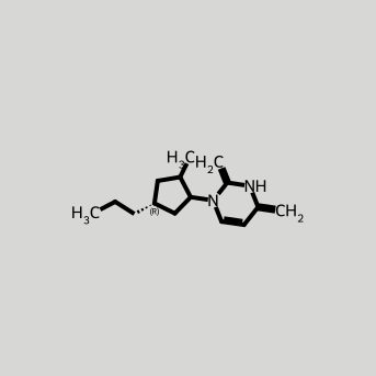 C=C1C=CN(C2C[C@H](CCC)CC2C)C(=C)N1